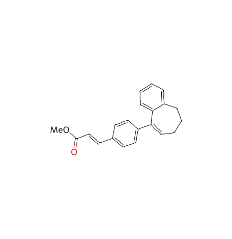 COC(=O)C=Cc1ccc(C2=CCCCc3ccccc32)cc1